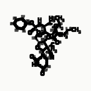 CCCC(CCC)C(=O)O[C@@H]1[C@@H](COP(=O)(N[C@@H](C)C(=O)OC(C)C)Oc2ccccc2)O[C@@H](n2ccc(=O)[nH]c2=O)[C@]1(C)C#N